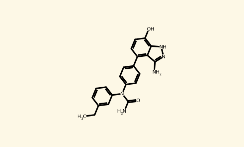 CCc1cccc(N(C(N)=O)c2ccc(-c3ccc(O)c4[nH]nc(N)c34)cc2)c1